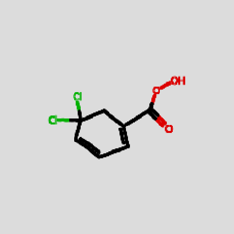 O=C(OO)C1=CC=CC(Cl)(Cl)C1